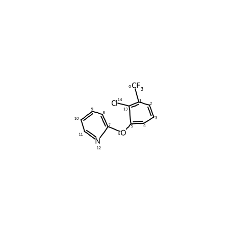 FC(F)(F)c1cccc(Oc2ccccn2)c1Cl